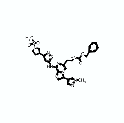 Cn1cc(-c2cnc3c(Nc4cc(C5CCN(S(C)(=O)=O)C5)ns4)nc(CCNC(=O)OCc4ccccc4)cn23)cn1